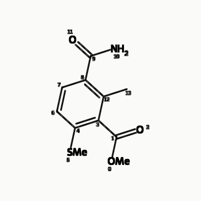 COC(=O)c1c(SC)ccc(C(N)=O)c1C